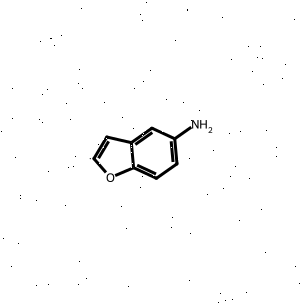 Nc1ccc2o[c]cc2c1